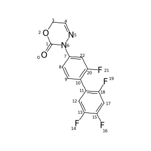 O=C1OCC=NN1c1ccc(-c2cc(F)c(F)cc2F)c(F)c1